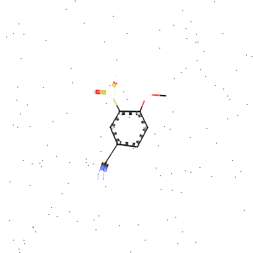 COc1ccc(C#N)cc1[SH](=O)=O